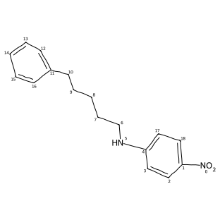 O=[N+]([O-])c1ccc(NCCCCCc2ccccc2)cc1